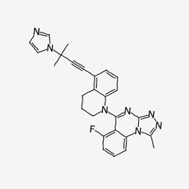 Cc1nnc2nc(N3CCCc4c(C#CC(C)(C)n5ccnc5)cccc43)c3c(F)cccc3n12